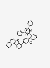 c1ccc(-c2nc(-c3ccccc3)nc(-c3cncc4oc5cc(-c6cccc7c6sc6ccc8ccccc8c67)ccc5c34)n2)cc1